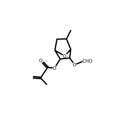 C=C(C)C(=O)OC1C2CC(C)C(O2)C1OC=O